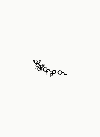 C=CCC1CCC(c2ccc(CCc3cc(F)c(C(F)(F)Oc4cc(F)c(OCC)cc4C)cc3F)c(F)c2)CC1